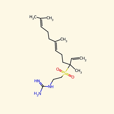 C=CC(C)(CC/C=C(\C)CCC=C(C)C)S(=O)(=O)CCNC(=N)N